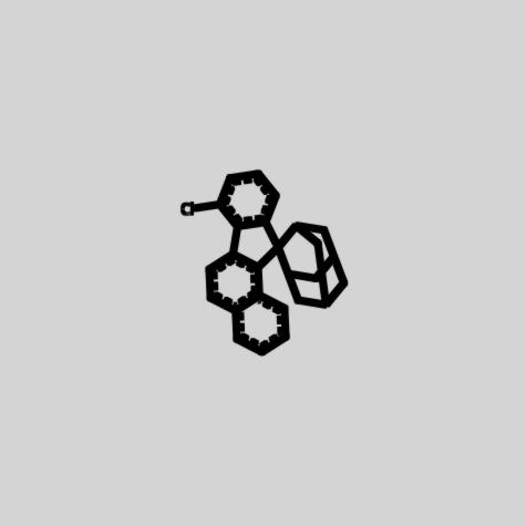 Clc1cccc2c1-c1ccc3ccccc3c1C21C2CC3CC(C2)CC1C3